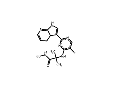 CCNC(=O)C(C)(C)Nc1nc(C2=CNC3=NC=CCC23)ncc1F